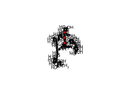 CO[C@H]1OC(CO)C(O[C@H]2OC(CNC(=S)NCCN(CCNC(=S)NCC3O[C@H](OC4C(CO)O[C@H](OC)C(O)[C@H]4O)C(O)[C@@H](O)C3C)CCNC(=S)NC(COCCCS[C@H]3OC(CO)[C@@H](O)[C@H](O)C3O)(COCCCS[C@H]3OC(CO)[C@@H](O)[C@H](O)C3O)COCCCS[C@@H]3OC(CO)[C@@H](O[C@@H]4OC(CO)[C@H](O)[C@H](O)C4O)[C@H](O)C3O)C(C)[C@H](O)C2O)[C@H](O)C1O